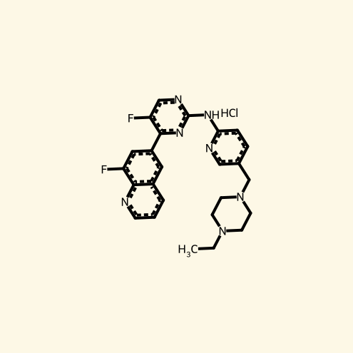 CCN1CCN(Cc2ccc(Nc3ncc(F)c(-c4cc(F)c5ncccc5c4)n3)nc2)CC1.Cl